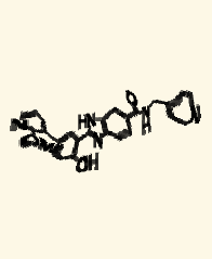 COc1ncccc1-c1ccc(O)c(-c2nc3ccc(C(=O)NCc4ccncc4)cc3[nH]2)c1